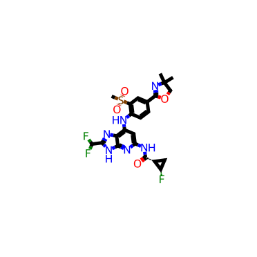 CC1(C)COC(c2ccc(Nc3cc(NC(=O)[C@@H]4C[C@@H]4F)nc4[nH]c(C(F)F)nc34)c(S(C)(=O)=O)c2)=N1